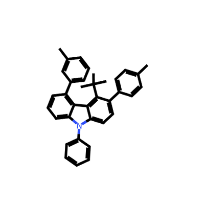 Cc1ccc(-c2ccc3c(c2C(C)(C)C)c2c(-c4cccc(C)c4)cccc2n3-c2ccccc2)cc1